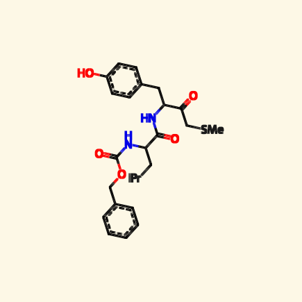 CSCC(=O)C(Cc1ccc(O)cc1)NC(=O)C(CC(C)C)NC(=O)OCc1ccccc1